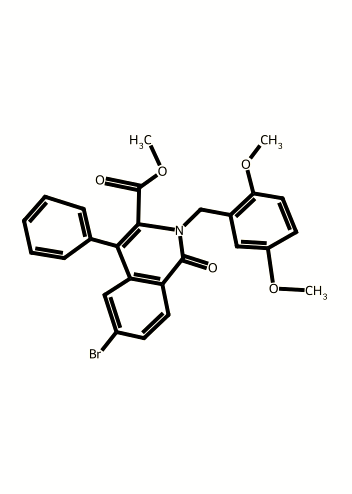 COC(=O)c1c(-c2ccccc2)c2cc(Br)ccc2c(=O)n1Cc1cc(OC)ccc1OC